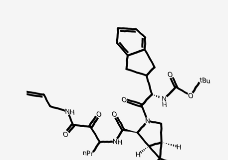 C=CCNC(=O)C(=O)C(CCC)NC(=O)[C@@H]1[C@H]2[C@@H](CN1C(=O)[C@@H](NC(=O)OC(C)(C)C)C1Cc3ccccc3C1)C2(C)C